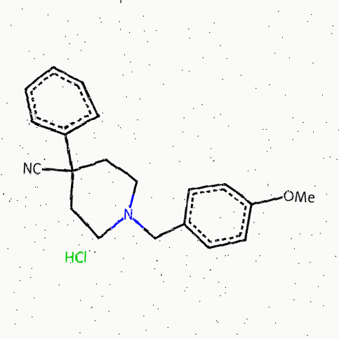 COc1ccc(CN2CCC(C#N)(c3ccccc3)CC2)cc1.Cl